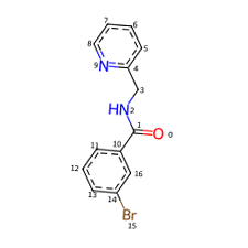 O=C(NCc1ccccn1)c1cccc(Br)c1